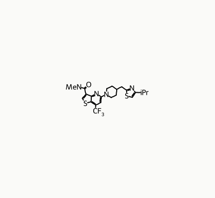 CNC(=O)c1csc2c(C(F)(F)F)cc(N3CCC(Cc4nc(C(C)C)cs4)CC3)nc12